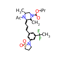 C=C1/C(=C\C=C\c2cc(N3CCCS3(=O)=O)cc(C(C)(F)F)c2)N(C(C)=O)[C@@H](C)CN1C(=O)OC(C)C